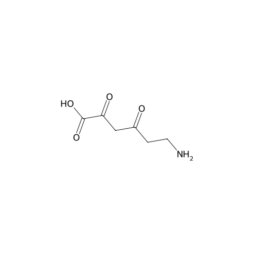 NCCC(=O)CC(=O)C(=O)O